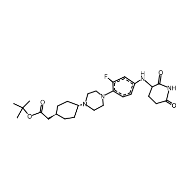 CC(C)(C)OC(=O)C[C@H]1CC[C@H](N2CCN(c3ccc(NC4CCC(=O)NC4=O)cc3F)CC2)CC1